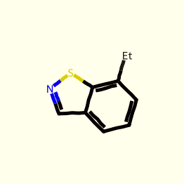 CCc1cccc2cnsc12